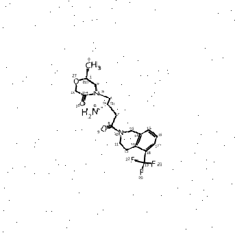 C[C@H]1CN(C[C@@H](N)CC(=O)N2CCc3c(cccc3C(F)(F)F)C2)C(=O)CO1